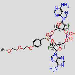 CCCOCCOCCOc1ccc(CS[P@@]2(=O)OC[C@H]3O[C@@H](n4cnc5c(N)ncnc54)[C@H](F)[C@@H]3OP(=O)(O)OC[C@H]3O[C@@H](n4cnc5c(N)ncnc54)[C@H](F)[C@@H]3O2)cc1